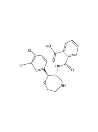 O=C(O)c1ccccc1C(=O)N[C@@H]1CNCCO[C@H]1c1ccc(Cl)c(Cl)c1